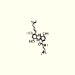 CCN(C)CC/N=C/c1c(O)cc(O)c2nc3c(C(=O)NCCN(C)CC)ccc(O)c3nc12